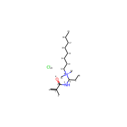 C=C(C)C(=O)NC(CC)[N+](C)(C)CCCCCCCC.[Cl-]